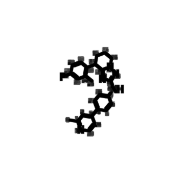 Cc1cc(-c2ccc(Nc3nc4n(n3)CCCC4c3ccc(F)cc3C)cc2)ccn1